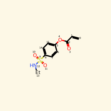 C=CC(=O)Oc1ccc(S(=O)(=O)NCC)cc1